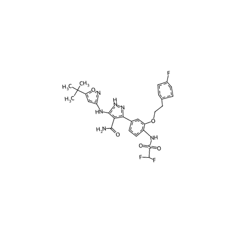 CC(C)(C)c1cc(Nc2[nH]nc(-c3ccc(NS(=O)(=O)C(F)F)c(OCCc4ccc(F)cc4)c3)c2C(N)=O)no1